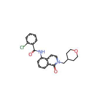 O=C(Nc1cccc2c(=O)n(CC3CCOCC3)ccc12)c1ccccc1Cl